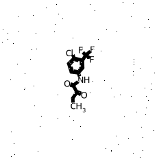 CCC(=O)C(=O)Nc1ccc(Cl)c(C(F)(F)F)c1